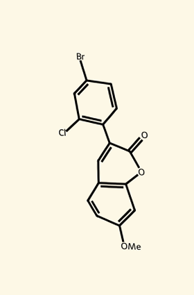 COc1ccc2cc(-c3ccc(Br)cc3Cl)c(=O)oc2c1